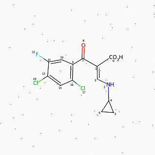 O=C(O)C(=CNC1CC1)C(=O)c1cc(F)c(Cl)cc1Cl